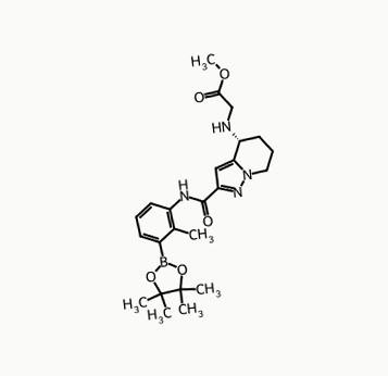 COC(=O)CN[C@@H]1CCCn2nc(C(=O)Nc3cccc(B4OC(C)(C)C(C)(C)O4)c3C)cc21